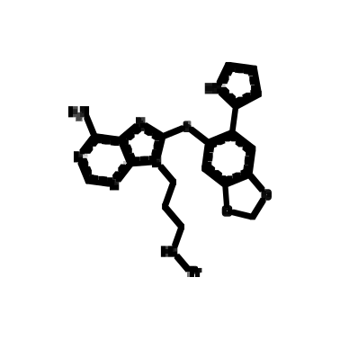 CC(C)NCCCn1c(Sc2cc3c(cc2-c2ccc[nH]2)OCO3)nc2c(N)ncnc21